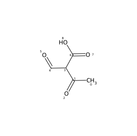 CC(=O)C(C=O)C(=O)O